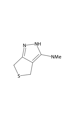 CNc1[nH]nc2c1CSC2